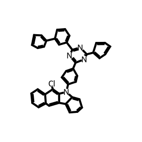 Clc1c2ccccc2cc2c3ccccc3n(-c3ccc(-c4nc(-c5ccccc5)nc(-c5cccc(-c6ccccc6)c5)n4)cc3)c12